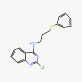 Clc1nc(NCCCSc2ccccc2)c2ccccc2n1